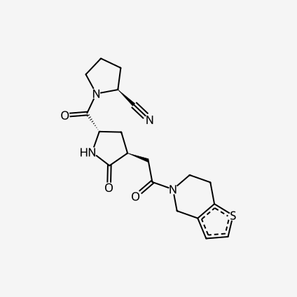 N#C[C@@H]1CCCN1C(=O)[C@@H]1C[C@@H](CC(=O)N2CCc3sccc3C2)C(=O)N1